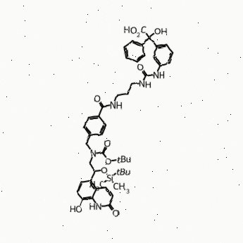 CC(C)(C)OC(=O)N(Cc1ccc(C(=O)NCCCNC(=O)Nc2cccc(C(O)(C(=O)O)c3ccccc3)c2)cc1)CC(O[Si](C)(C)C(C)(C)C)c1ccc(O)c2[nH]c(=O)ccc12